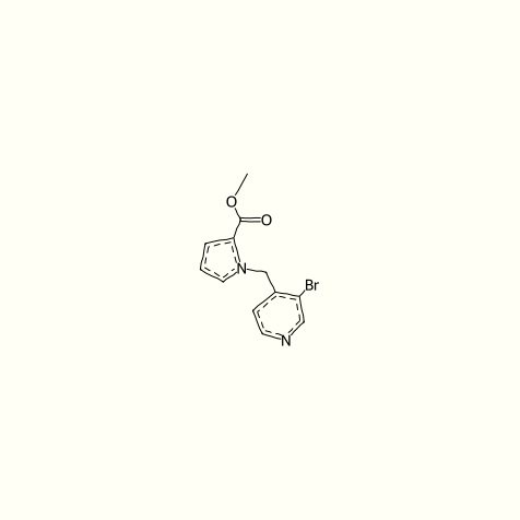 COC(=O)c1cccn1Cc1ccncc1Br